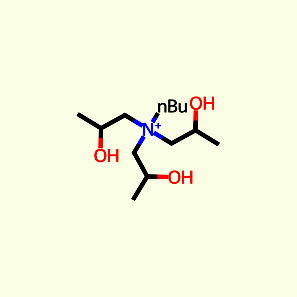 CCCC[N+](CC(C)O)(CC(C)O)CC(C)O